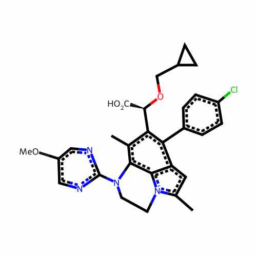 COc1cnc(N2CCn3c(C)cc4c(-c5ccc(Cl)cc5)c([C@H](OCC5CC5)C(=O)O)c(C)c2c43)nc1